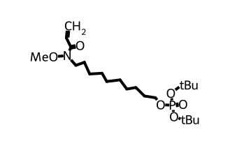 C=CC(=O)N(CCCCCCCCCCOP(=O)(OC(C)(C)C)OC(C)(C)C)OC